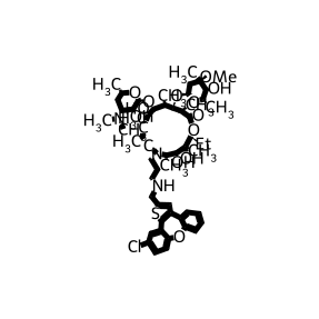 CC[C@H]1OC(=O)[C@H](C)[C@@H](O[C@H]2C[C@@](C)(OC)[C@@H](O)[C@H](C)O2)[C@H](C)[C@@H](O[C@@H]2O[C@H](C)C[C@H](N(C)C)[C@H]2O)[C@](C)(O)C[C@@H](C)CN(CCCNCc2cc3c(s2)-c2cc(Cl)ccc2Oc2ccccc2-3)[C@H](C)[C@@H](O)[C@]1(C)O